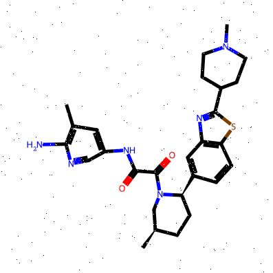 Cc1cc(NC(=O)C(=O)N2C[C@H](C)CC[C@@H]2c2ccc3sc(C4CCN(C)CC4)nc3c2)cnc1N